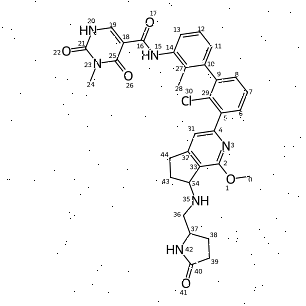 COc1nc(-c2cccc(-c3cccc(NC(=O)c4c[nH]c(=O)n(C)c4=O)c3C)c2Cl)cc2c1C(NCC1CCC(=O)N1)CC2